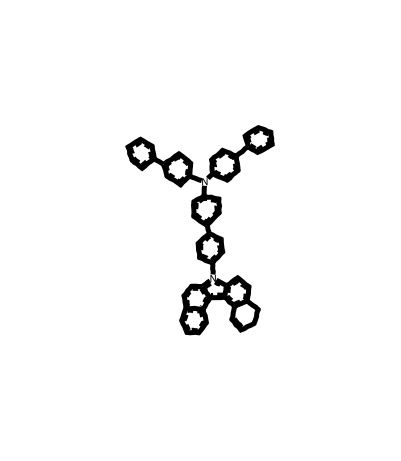 C1=Cc2c(ccc3c2c2c4ccccc4ccc2n3-c2ccc(-c3ccc(N(c4ccc(-c5ccccc5)cc4)c4ccc(-c5ccccc5)cc4)cc3)cc2)CC1